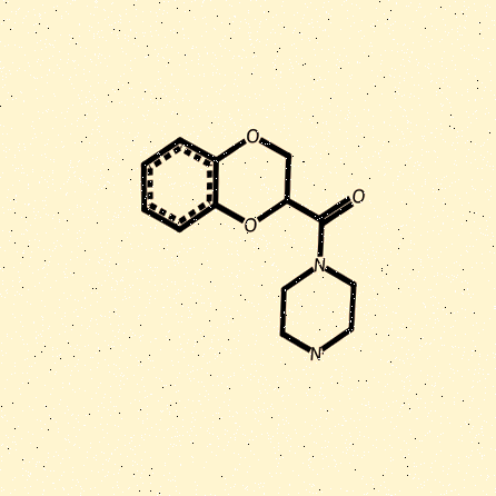 O=C(C1COc2ccccc2O1)N1CC[N]CC1